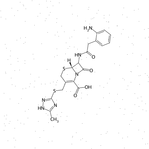 Cc1nc(SCC2=C(C(=O)O)N3C(=O)C(NC(=O)Cc4ccccc4N)[C@H]3SC2)n[nH]1